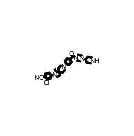 CC1N(c2ccc(C#N)c(Cl)c2)CCC12CCN(c1ccc(C(=O)N3CCN(C4CCNCC4)CC3)cc1)CC2